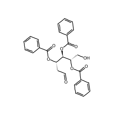 O=CC[C@H](OC(=O)c1ccccc1)[C@@H](OC(=O)c1ccccc1)[C@H](CO)OC(=O)c1ccccc1